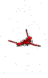 CCCCCCCCCCCCCCCCc1ccc(C(O)(c2ccc(CCCCCCCCCCCCCCCC)cc2)c2c(-c3cc4sc([Si](C(C)C)(C(C)C)C(C)C)cc4s3)sc3cc(-c4sc5cc([Si](C(C)C)(C(C)C)C(C)C)sc5c4C(O)(c4ccccc4C(CCC)CCCCCCCCCCCC)c4ccccc4C(CCC)CCCCCCCCCCCC)sc23)cc1